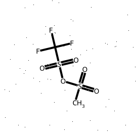 CS(=O)(=O)OS(=O)(=O)C(F)(F)F